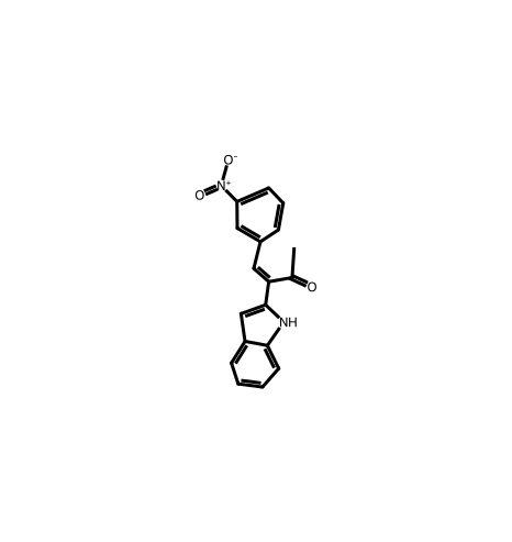 CC(=O)/C(=C\c1cccc([N+](=O)[O-])c1)c1cc2ccccc2[nH]1